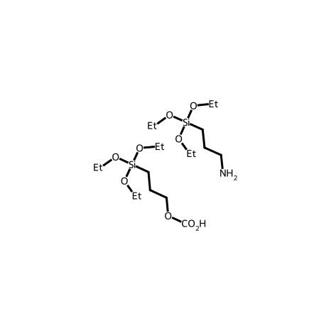 CCO[Si](CCCN)(OCC)OCC.CCO[Si](CCCOC(=O)O)(OCC)OCC